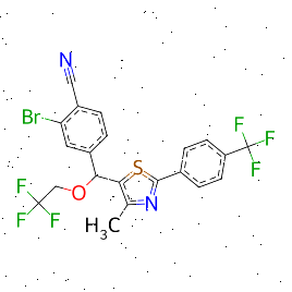 Cc1nc(-c2ccc(C(F)(F)F)cc2)sc1C(OCC(F)(F)F)c1ccc(C#N)c(Br)c1